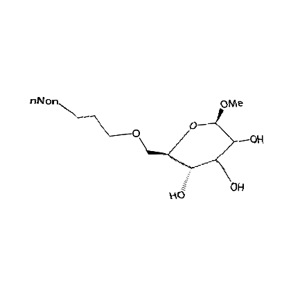 CCCCCCCCCCCCOC[C@H]1O[C@@H](OC)C(O)C(O)[C@@H]1O